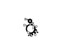 CCC1CCCOc2c(cnn2C)-c2cc(cn(C)c2=O)C(=O)Nc2nc3ccc(Br)cc3n2C1